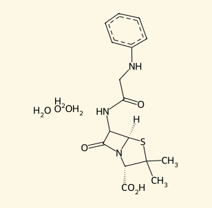 CC1(C)S[C@@H]2C(NC(=O)CNc3ccccc3)C(=O)N2[C@H]1C(=O)O.O.O.O